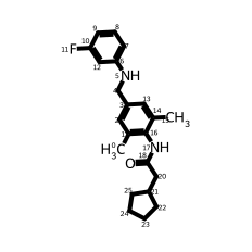 Cc1cc(CNc2cccc(F)c2)cc(C)c1NC(=O)CC1CCCC1